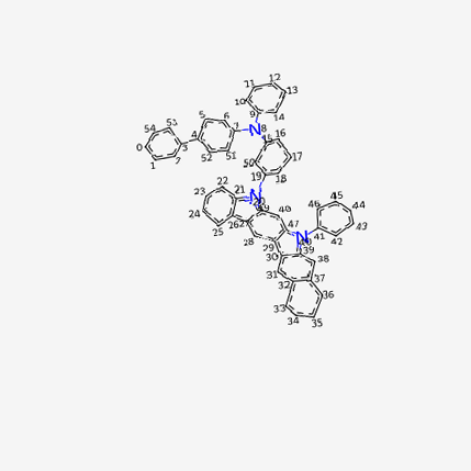 c1ccc(-c2ccc(N(c3ccccc3)c3cccc(-n4c5ccccc5c5cc6c7cc8ccccc8cc7n(-c7ccccc7)c6cc54)c3)cc2)cc1